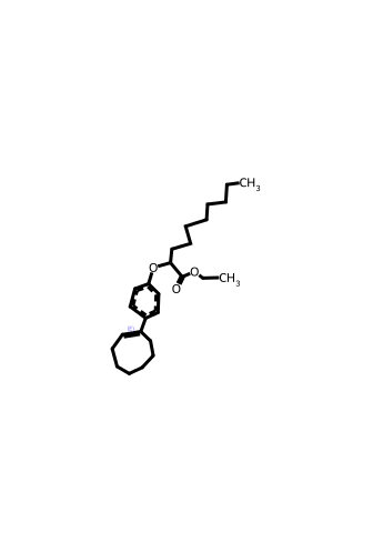 CCCCCCCCC(Oc1ccc(/C2=C/CCCCCC2)cc1)C(=O)OCC